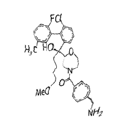 COCCCC[C@](O)(c1cccc(Cl)c1-c1cc(C)ccc1F)[C@H]1CN(C(=O)c2ccc(CN)cc2)CCO1